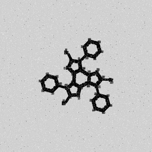 Brc1nc2c(c3nc(Br)n(-c4ccccc4)c3c3nc(Br)n(-c4ccccc4)c23)n1-c1ccccc1